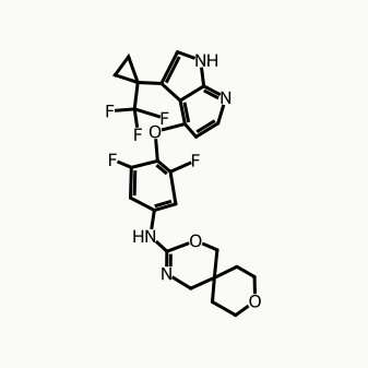 Fc1cc(NC2=NCC3(CCOCC3)CO2)cc(F)c1Oc1ccnc2[nH]cc(C3(C(F)(F)F)CC3)c12